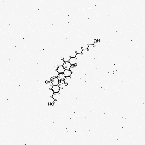 O=C1c2ccc3c4c(ccc(c24)C(=O)N1CCCCCCCCO)C(=O)N(c1ccc(CCO)cc1[N+](=O)[O-])C3=O